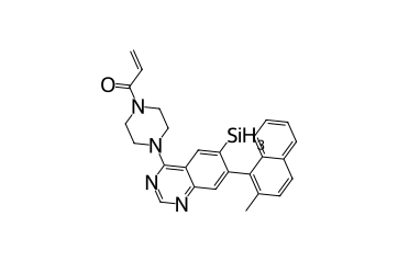 C=CC(=O)N1CCN(c2ncnc3cc(-c4c(C)ccc5ccccc45)c([SiH3])cc23)CC1